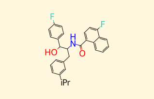 CC(C)c1cccc(CC(NC(=O)c2ccc(F)c3ccccc23)C(O)c2ccc(F)cc2)c1